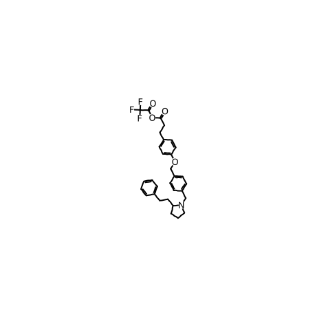 O=C(CCc1ccc(OCc2ccc(CN3CCCC3CCc3ccccc3)cc2)cc1)OC(=O)C(F)(F)F